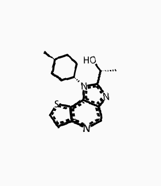 C[C@@H](O)c1nc2cnc3ccsc3c2n1[C@H]1CC[C@H](C)CC1